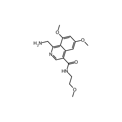 COCCNC(=O)c1cnc(CN)c2c(OC)cc(OC)cc12